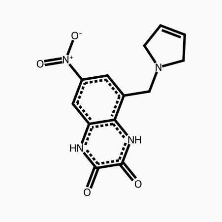 O=c1[nH]c2cc([N+](=O)[O-])cc(CN3CC=CC3)c2[nH]c1=O